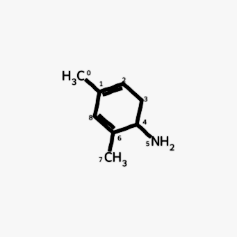 CC1=CCC(N)C(C)=C1